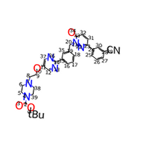 CC(C)(C)OC(=O)N1CCN(CCOc2cnc(-c3cccc(Cn4nc(-c5cccc(C#N)c5)ccc4=O)c3)nc2)CC1